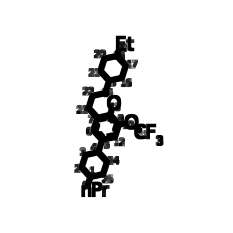 CCCC1CCC(c2cc3c(c(OC(F)(F)F)c2)OC(C2CCC(CC)CC2)CC3)CC1